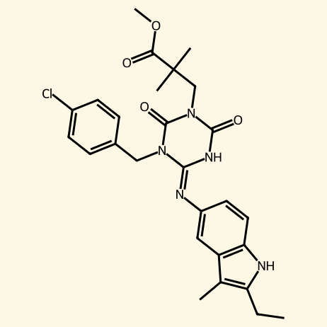 CCc1[nH]c2ccc(/N=c3\[nH]c(=O)n(CC(C)(C)C(=O)OC)c(=O)n3Cc3ccc(Cl)cc3)cc2c1C